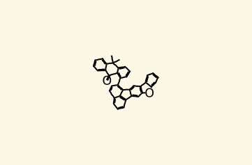 CC1(C)c2ccccc2C(=O)c2c(-c3ccc4cccc5c4c3-c3cc4c(cc3-5)oc3ccccc34)cccc21